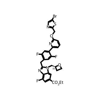 CCOC(=O)c1cc(F)c2nc(Cc3cc(F)c(-c4cccc(OCc5ncc(Br)s5)n4)cc3F)n(C[C@@H]3CCO3)c2c1